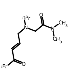 CCCN(C/C=C/C(=O)C(C)C)CC(=O)N(C)C